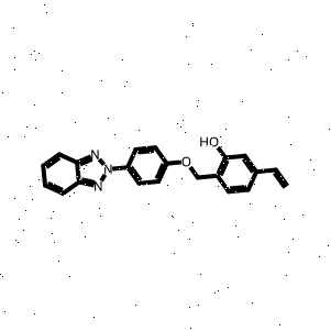 C=Cc1ccc(COc2ccc(-n3nc4ccccc4n3)cc2)c(O)c1